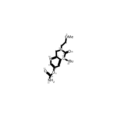 COCCN(Cc1ccc(OC(N)=O)cn1)C(=O)OC(C)(C)C